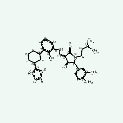 Cc1ccc(C2C(=O)C(=NNc3cccc(C4CCCC(c5nnn[nH]5)C4)c3O)C(=O)N2CCN(C)C)cc1C